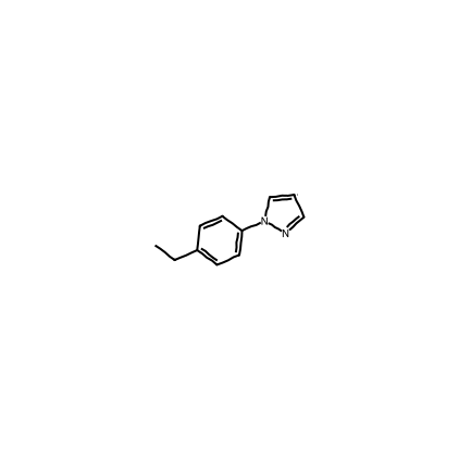 CCc1ccc(-n2c[c]cn2)cc1